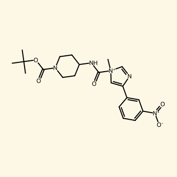 CC(C)(C)OC(=O)N1CCC(NC(=O)[N+]2(C)C=NC(c3cccc([N+](=O)[O-])c3)=C2)CC1